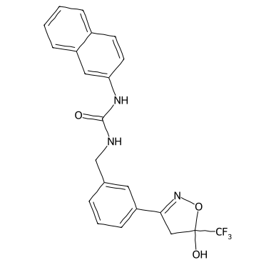 O=C(NCc1cccc(C2=NOC(O)(C(F)(F)F)C2)c1)Nc1ccc2ccccc2c1